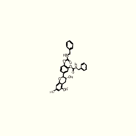 O=C(NCc1ccccc1)Oc1ccc(C2Oc3cc(O)cc(O)c3C[C@H]2O)cc1OC(=O)NCc1ccccc1